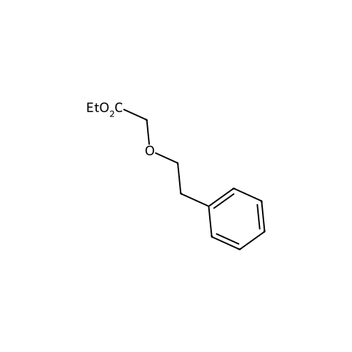 [CH2]COC(=O)COCCc1ccccc1